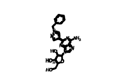 Nc1nc(-c2cnn(Cc3ccccc3)c2)nc2c1ncn2C1OC(CO)[C@@H](O)C1O